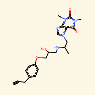 C#CCc1ccc(OCC(O)CNC(C)Cn2cnc3c2c(=O)n(C)c(=O)n3C)cc1